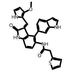 COc1cc[nH]c1C=C1C(=O)Nc2ccc(NC(=O)Cc3cccs3)c(-c3ccc4cc[nH]c4c3)c21